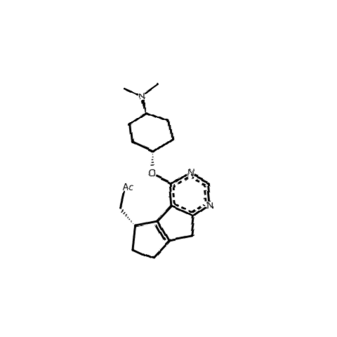 CC(=O)C[C@H]1CCC2=C1c1c(ncnc1O[C@H]1CC[C@H](N(C)C)CC1)C2